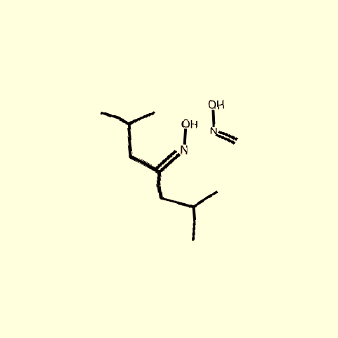 C=NO.CC(C)CC(CC(C)C)=NO